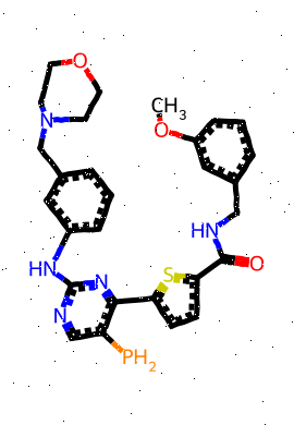 COc1cccc(CNC(=O)c2ccc(-c3nc(Nc4cccc(CN5CCOCC5)c4)ncc3P)s2)c1